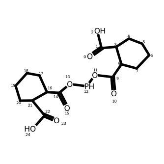 O=C(O)C1CCCCC1C(=O)OPOC(=O)C1CCCCC1C(=O)O